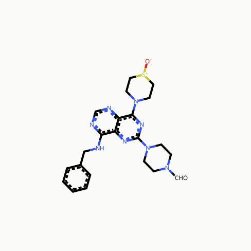 O=CN1CCN(c2nc(N3CC[S+]([O-])CC3)c3ncnc(NCc4ccccc4)c3n2)CC1